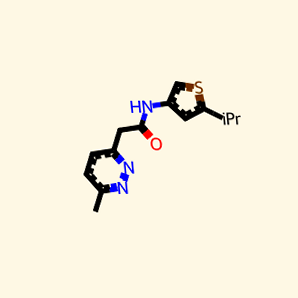 Cc1ccc(CC(=O)Nc2csc(C(C)C)c2)nn1